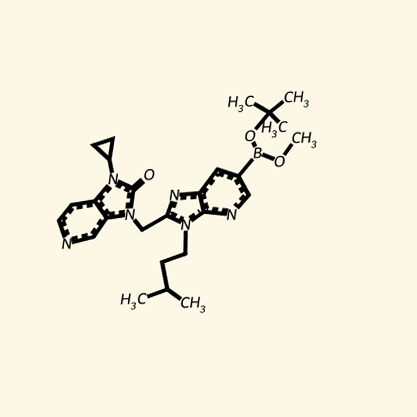 COB(OC(C)(C)C)c1cnc2c(c1)nc(Cn1c(=O)n(C3CC3)c3ccncc31)n2CCC(C)C